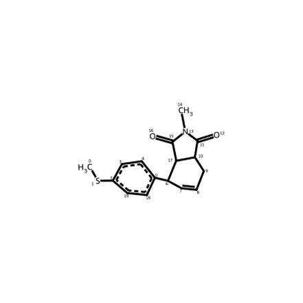 CSc1ccc(C2C=CCC3C(=O)N(C)C(=O)C32)cc1